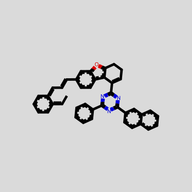 C/C=c1/cccc/c1=C/C=C/c1ccc2c3c(oc2c1)CCC=C3c1nc(-c2ccccc2)nc(-c2ccc3ccccc3c2)n1